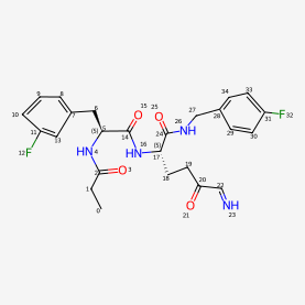 CCC(=O)N[C@@H](Cc1cccc(F)c1)C(=O)N[C@@H](CCC(=O)C=N)C(=O)NCc1ccc(F)cc1